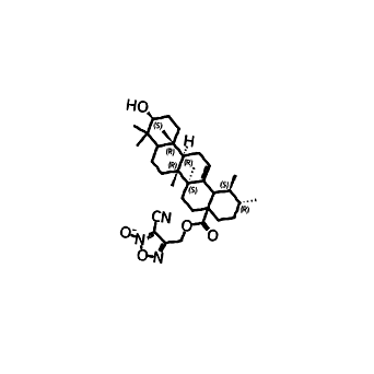 C[C@@H]1CCC2(C(=O)OCc3no[n+]([O-])c3C#N)CC[C@]3(C)C(=CC[C@@H]4[C@@]5(C)CC[C@H](O)C(C)(C)C5CC[C@]43C)C2[C@H]1C